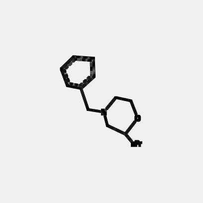 CCCC1CN(Cc2ccccc2)CCO1